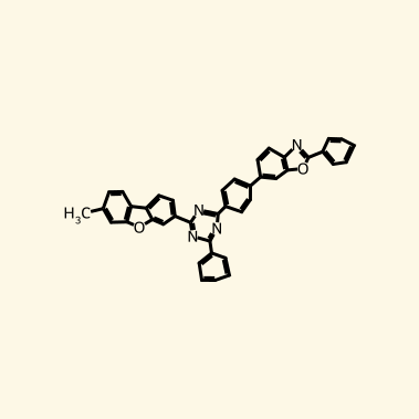 Cc1ccc2c(c1)oc1cc(-c3nc(-c4ccccc4)nc(-c4ccc(-c5ccc6nc(-c7ccccc7)oc6c5)cc4)n3)ccc12